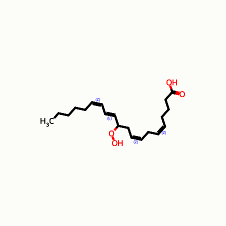 CCCCC/C=C\C=C\C(C/C=C\C/C=C\CCCC(=O)O)OO